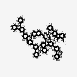 CC1(C)c2ccccc2-c2cc3c4ccccc4n(-c4nc(-c5ccc6ccc(-n7c8cc(-c9ccc%10c(c9)c9ccccc9n%10-c9ccccc9)ccc8c8ccc(-c9ccc%10c(c9)c9ccccc9n%10-c9ccccc9)cc87)cc6c5)cc(-n5c6ccccc6c6cc(-c7ccc8oc9ccccc9c8c7)ccc65)n4)c3cc21